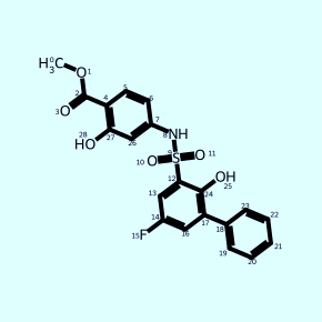 COC(=O)c1ccc(NS(=O)(=O)c2cc(F)cc(-c3ccccc3)c2O)cc1O